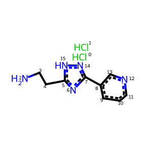 Cl.Cl.NCCc1nc(-c2cccnc2)n[nH]1